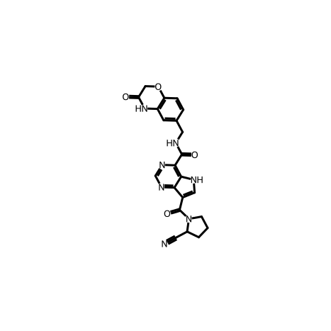 N#CC1CCCN1C(=O)c1c[nH]c2c(C(=O)NCc3ccc4c(c3)NC(=O)CO4)ncnc12